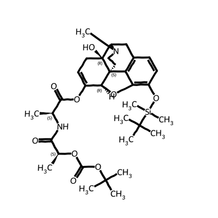 C[C@H](NC(=O)[C@H](C)OC(=O)OC(C)(C)C)C(=O)OC1=CC[C@]2(O)C3Cc4ccc(O[Si](C)(C)C(C)(C)C)c5c4[C@@]2(CCN3C)[C@H]1O5